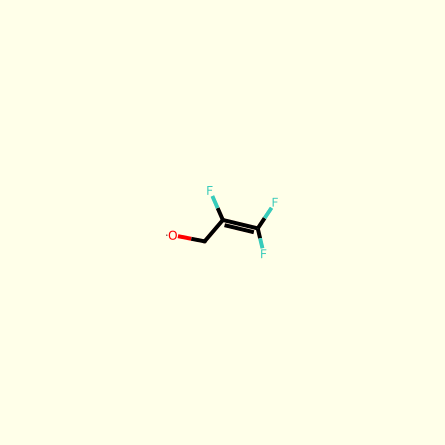 [O]CC(F)=C(F)F